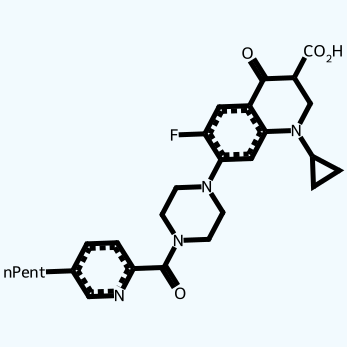 CCCCCc1ccc(C(=O)N2CCN(c3cc4c(cc3F)C(=O)C(C(=O)O)CN4C3CC3)CC2)nc1